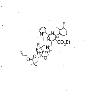 C=CCOC(=O)C(C)(F)CCN1OC[C@@H]2[C@H]1C(F)(F)CN2CC1=C(C(=O)OCC)[C@H](c2cccc(F)c2C)N=C(c2nccs2)N1